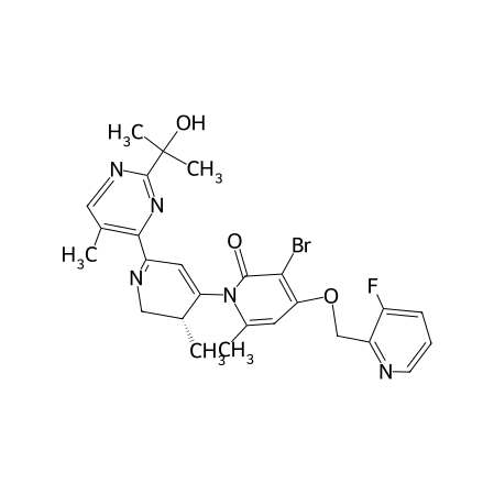 Cc1cnc(C(C)(C)O)nc1C1=NC[C@@H](C)C(n2c(C)cc(OCc3ncccc3F)c(Br)c2=O)=C1